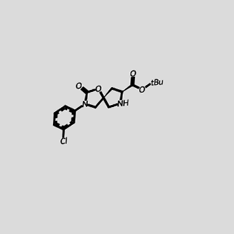 CC(C)(C)OC(=O)[C@@H]1C[C@@]2(CN1)CN(c1cccc(Cl)c1)C(=O)O2